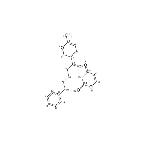 CC1=CC=C(C(=O)CCCCc2ccccc2)CO1.O=C1C=COC(=O)C1